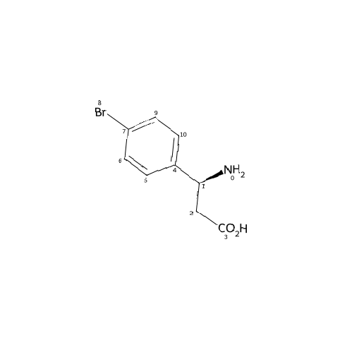 N[C@@H](CC(=O)O)c1ccc(Br)cc1